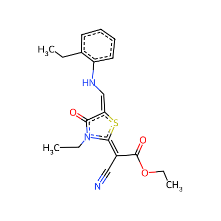 CCOC(=O)/C(C#N)=c1\s/c(=C/Nc2ccccc2CC)c(=O)n1CC